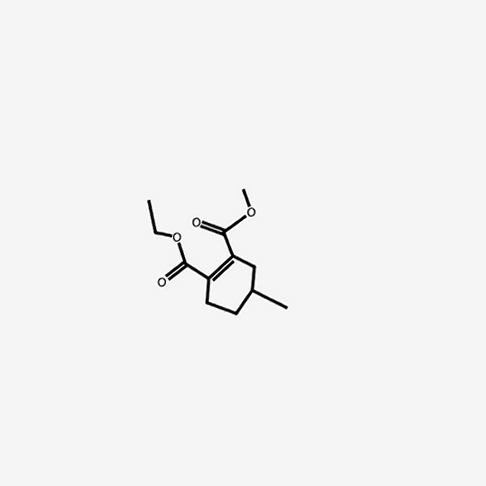 CCOC(=O)C1=C(C(=O)OC)CC(C)CC1